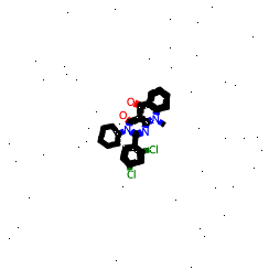 Cn1c2ccccc2c(=O)c2c(=O)n(C3CCCCC3)c(-c3ccc(Cl)cc3Cl)nc21